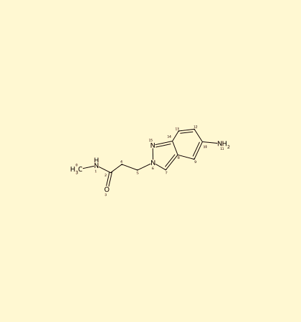 CNC(=O)CCn1cc2cc(N)ccc2n1